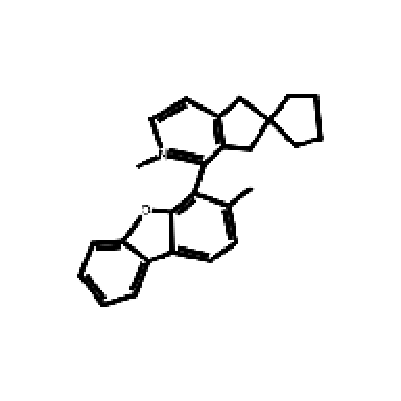 Cc1ccc2c(oc3ccccc32)c1-c1c2c(cc[n+]1C)CC1(CCCC1)C2